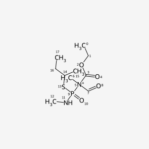 CCOC(=O)[N+](C)(C=O)P(=O)(NC)SC(C)CC